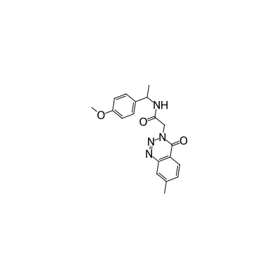 COc1ccc(C(C)NC(=O)Cn2nnc3cc(C)ccc3c2=O)cc1